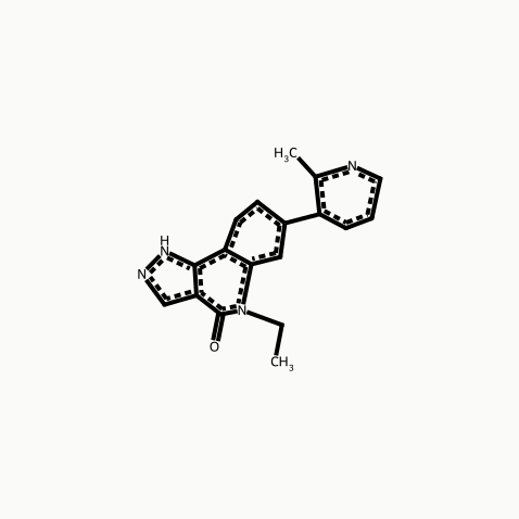 CCn1c(=O)c2cn[nH]c2c2ccc(-c3cccnc3C)cc21